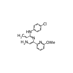 C=C/C(=N\C(=C/N)c1cccc(OC)n1)Nc1ccc(Cl)cc1